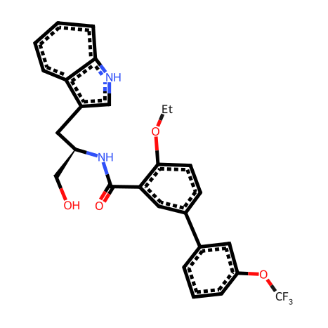 CCOc1ccc(-c2cccc(OC(F)(F)F)c2)cc1C(=O)N[C@@H](CO)Cc1c[nH]c2ccccc12